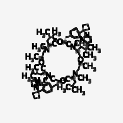 CC(C)C[C@H]1CO[C@H](C)CN(C)[C@@H](CC(C)C)CO[C@H](Cc2ccc(C3(n4cccn4)CCC3)cc2)CN(C)[C@@H](CC(C)C)CO[C@H](C)CN(C)[C@@H](CC(C)C)CO[C@H](Cc2ccc(C3(n4cccn4)CCC3)cc2)CN1C